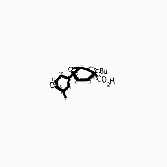 CCCCC1(C(=O)O)CCC2(C3CC(C)C4OC4C3)OC2C1